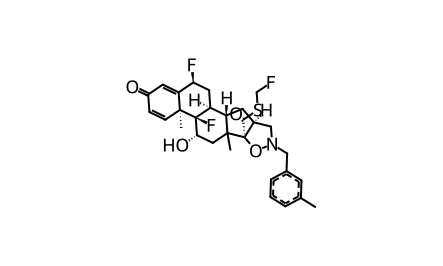 Cc1cccc(CN2C[C@@H]3C[C@H]4[C@@H]5C[C@H](F)C6=CC(=O)C=C[C@]6(C)[C@@]5(F)[C@@H](O)CC4(C)[C@]3(C(=O)SCF)O2)c1